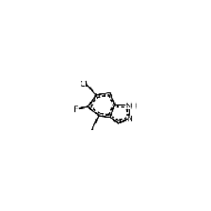 Cc1c(F)c(Cl)cc2[nH]ncc12